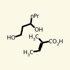 CC=C(C)C(=O)O.CCCC(O)CCO